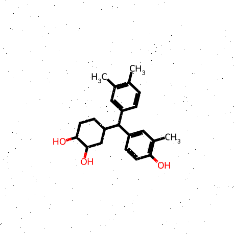 Cc1ccc(C(c2ccc(O)c(C)c2)C2CCC(O)C(O)C2)cc1C